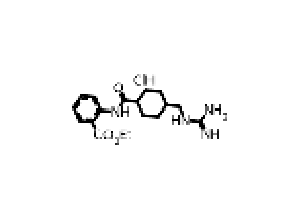 CCOC(=O)c1ccccc1NC(=O)C1CCC(CNC(=N)N)CC1.Cl